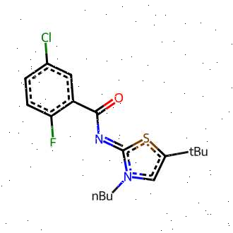 CCCCn1cc(C(C)(C)C)sc1=NC(=O)c1cc(Cl)ccc1F